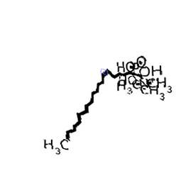 CCCCCCCCCCCCCC/C=C\CCCCC(O)(C[N+](C)(C)C)P(=O)(O)O